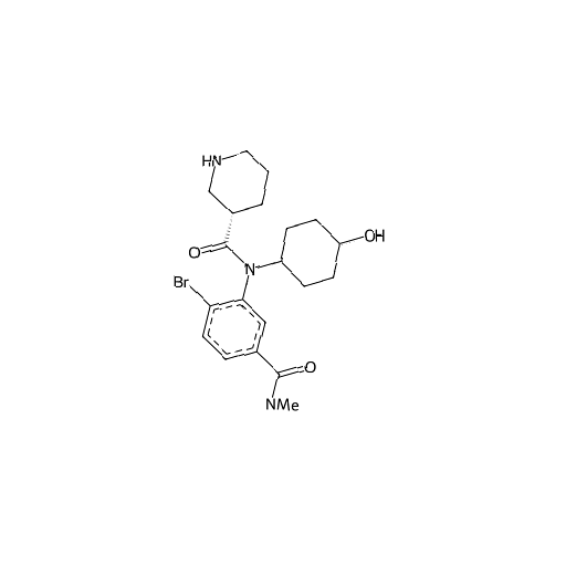 CNC(=O)c1ccc(Br)c(N(C(=O)[C@H]2CCCNC2)C2CCC(O)CC2)c1